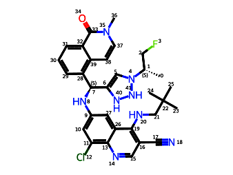 C[C@@H](CF)N1C=C([C@@H](Nc2cc(Cl)c3ncc(C#N)c(NCC(C)(C)C)c3c2)c2cccc3c(=O)n(C)ccc23)NN1